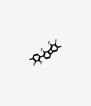 Cc1ccc(-c2ccc3c(c2F)-c2c-3cc(C)c(F)c2F)c(F)c1F